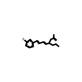 C=C(C)CC(/C=C/C=C/c1cccc(F)c1)CCC